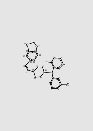 Clc1cccc(C(c2ccccc2Cl)N2CCC(/N=C\c3ccc4c(c3)OCO4)CC2)c1